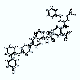 CN(C)CCC(CSc1ccccc1)Nc1ccc(S(=O)(=O)Nc2ncnc3cc(N4CCN(CC5=C(c6ccc(Cl)cc6)CCOC5)CC4)ccc23)cc1[N+](=O)[O-]